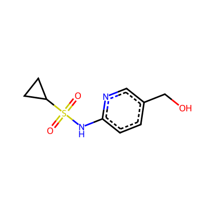 O=S(=O)(Nc1ccc(CO)cn1)C1CC1